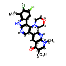 CNc1c(Cl)c(F)cc2c1[nH]c1ncc(-c3cnc4c(c3)c(=O)c(C(=O)O)cn4C)c(N3CCOCC3)c12